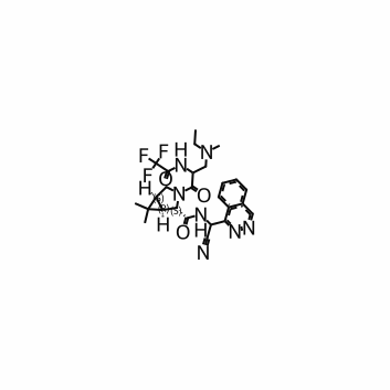 CCN(C)CC(NC(=O)C(F)(F)F)C(=O)N1C[C@H]2[C@@H]([C@H]1C(=O)NC(C#N)c1nncc3ccccc13)C2(C)C